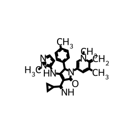 C=C1C(C)=CC(N2C(=O)C(C(=N)C3CC3)=C(Nc3ccnn3C)C2c2ccc(C)cc2)=CN1C